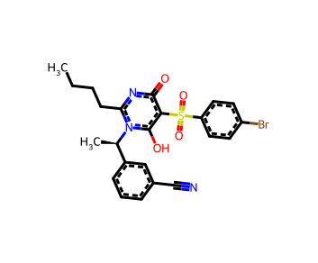 CCCCc1nc(=O)c(S(=O)(=O)c2ccc(Br)cc2)c(O)n1[C@H](C)c1cccc(C#N)c1